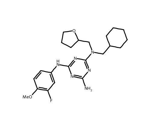 COc1ccc(Nc2nc(N)nc(N(CC3CCCCC3)CC3CCCO3)n2)cc1F